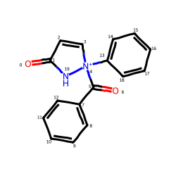 O=C1C=C[N+](C(=O)c2ccccc2)(c2ccccc2)N1